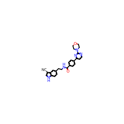 N#Cc1c[nH]c2ccc(CCNC(=O)c3ccc(-c4ccnc(N5CCOCC5)n4)cc3)cc12